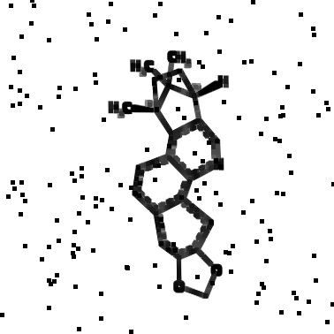 CC1(C)[C@@H]2CC[C@@]1(C)c1c2cnc2c1ccc1cc3c(cc12)OCO3